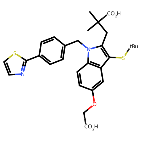 CC(C)(C)Sc1c(CC(C)(C)C(=O)O)n(Cc2ccc(-c3nccs3)cc2)c2ccc(OCC(=O)O)cc12